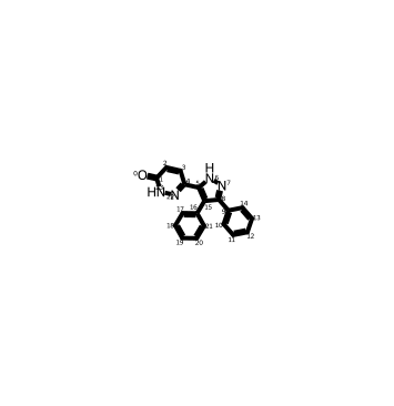 O=c1ccc(-c2[nH]nc(-c3ccccc3)c2-c2ccccc2)n[nH]1